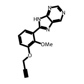 C#CCOc1cccc(-c2nc3cncnc3[nH]2)c1OC